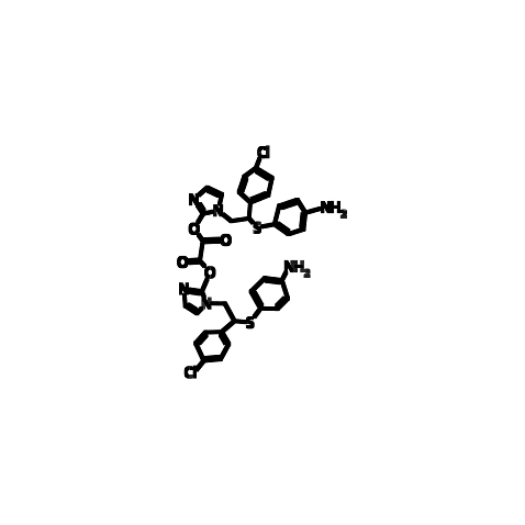 Nc1ccc(SC(Cn2ccnc2OC(=O)C(=O)Oc2nccn2CC(Sc2ccc(N)cc2)c2ccc(Cl)cc2)c2ccc(Cl)cc2)cc1